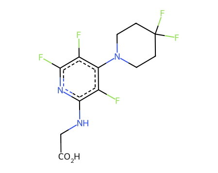 O=C(O)CNc1nc(F)c(F)c(N2CCC(F)(F)CC2)c1F